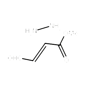 COC(=O)C=CC=O.NN